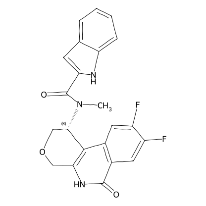 CN(C(=O)c1cc2ccccc2[nH]1)[C@H]1COCc2[nH]c(=O)c3cc(F)c(F)cc3c21